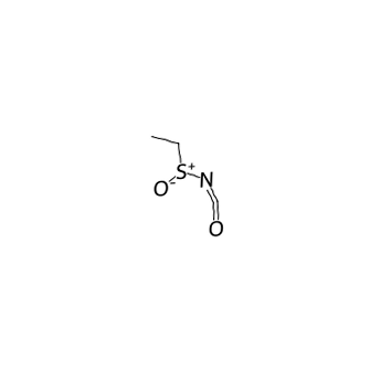 CC[S+]([O-])N=C=O